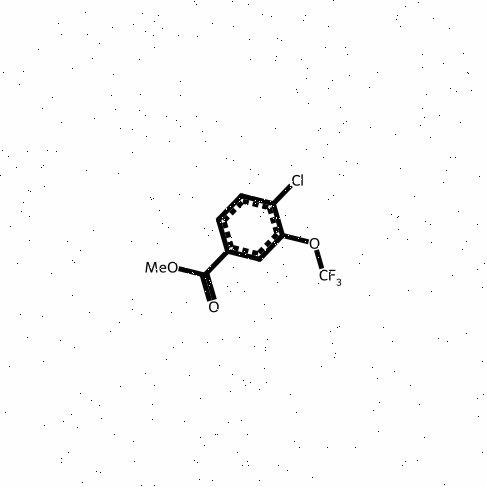 COC(=O)c1ccc(Cl)c(OC(F)(F)F)c1